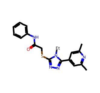 CCn1c(SCC(=O)Nc2ccccc2)nnc1-c1cc(C)nc(C)c1